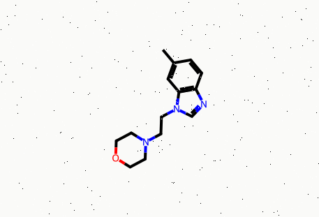 Cc1ccc2ncn(CCN3CCOCC3)c2c1